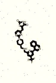 O=C1NC(=O)/C(=C/c2ccnc(N3CCC(CNCc4cc(C(F)(F)F)cc(-c5cncc6ccccc56)n4)CC3)n2)S1